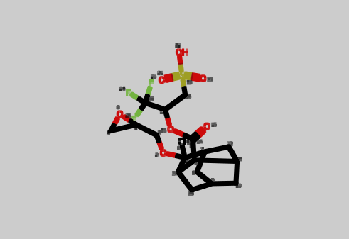 CC1(OCC2CO2)C2CC3CC(C2)C(C(=O)OC(CS(=O)(=O)O)C(F)(F)F)C1C3